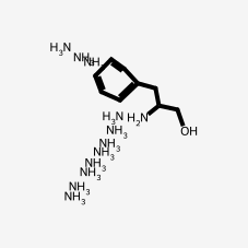 N.N.N.N.N.N.N.N.N.N.N.NC(CO)Cc1ccccc1